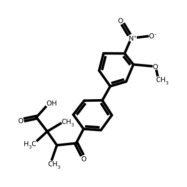 COc1cc(-c2ccc(C(=O)C(C)C(C)(C)C(=O)O)cc2)ccc1[N+](=O)[O-]